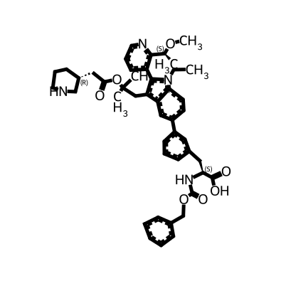 CCn1c(-c2cccnc2[C@H](C)OC)c(CC(C)(C)OC(=O)C[C@H]2CCCNC2)c2cc(-c3cccc(C[C@H](NC(=O)OCc4ccccc4)C(=O)O)c3)ccc21